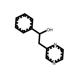 OC(Cc1cnccn1)c1ccccc1